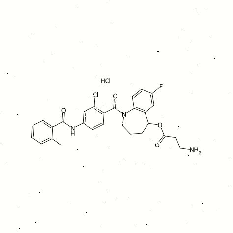 Cc1ccccc1C(=O)Nc1ccc(C(=O)N2CCCC(OC(=O)CCN)c3cc(F)ccc32)c(Cl)c1.Cl